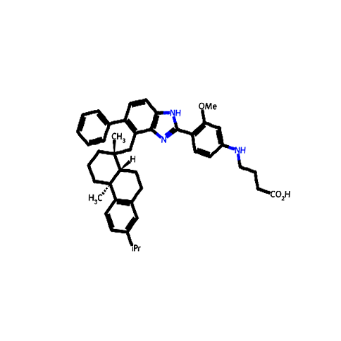 COc1cc(NCCCC(=O)O)ccc1-c1nc2c(C[C@@]3(C)CCC[C@]4(C)c5ccc(C(C)C)cc5CC[C@@H]34)c(-c3ccccc3)ccc2[nH]1